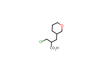 O=C(O)C(CCl)CC1CCCOC1